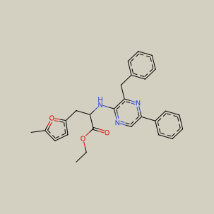 CCOC(=O)C(Cc1ccc(C)o1)Nc1ncc(-c2ccccc2)nc1Cc1ccccc1